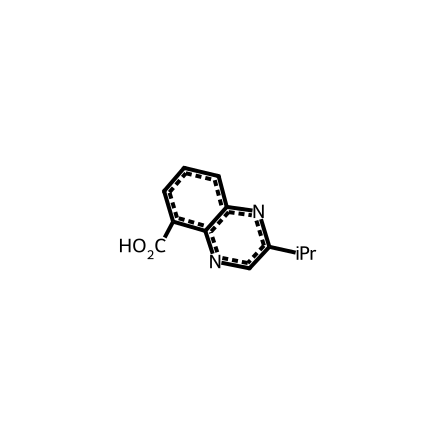 CC(C)c1cnc2c(C(=O)O)cccc2n1